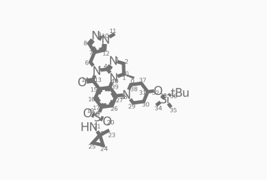 C[C@@H]1CN=C2N(Cc3cnn(C)c3)C(=O)c3cc(S(=O)(=O)NC4(C)CC4)cc(N4CCC(O[Si](C)(C)C(C)(C)C)CC4)c3N21